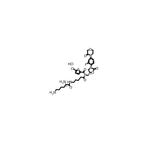 Cl.NCCCC[C@H](N)C(=O)NCCCCC(=O)N(C[C@H]1CN(c2ccc(N3CCOCC3=O)cc2F)C(=O)O1)C(=O)c1ccc(Cl)s1